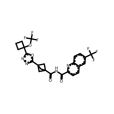 O=C(NC(=O)C12CC(c3nnc(C4(OC(F)(F)F)CCC4)o3)(C1)C2)c1ccc2cc(C(F)(F)F)ccc2n1